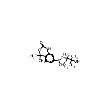 CB(OC(C)(C)C(C)(C)O)c1ccc2c(c1)NC(=O)OC2(C)C